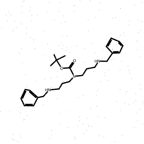 CC(C)(C)OC(=O)N(CCCNCc1ccccc1)CCCNCc1ccccc1